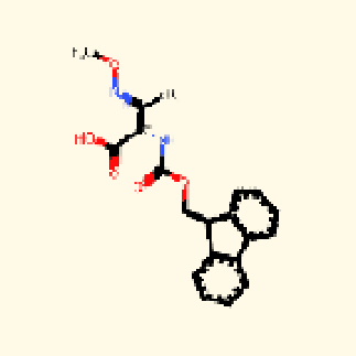 CO/N=C(\C)[C@H](NC(=O)OCC1c2ccccc2-c2ccccc21)C(=O)O